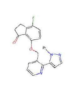 CC(C)n1nccc1-c1ncccc1COc1ccc(F)c2c1C(=O)CC2